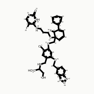 O=C(O)C(CO)NCc1cc(Cl)c(OCC2(OCCCNc3[nH]c(=O)ncc3F)C=CC=C(c3ccccc3)C2F)cc1OCc1ccc2nonc2c1